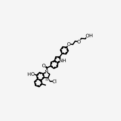 Cc1cccc2c(O)cc3c(c12)[C@H](CCl)CN3C(=O)c1ccc2[nH]c(-c3ccc(OCCOCCO)cc3)cc2c1